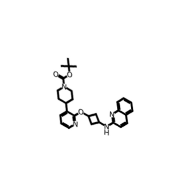 CC(C)(C)OC(=O)N1CCC(c2cccnc2OC2CC(Nc3ccc4ccccc4n3)C2)CC1